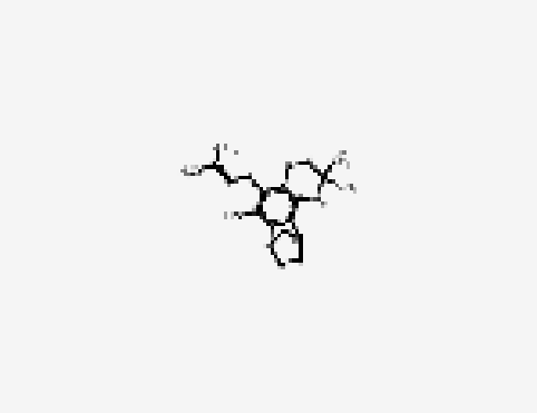 CC(C)=CCc1c(O)c2c(c3c1CCC(C)(C)O3)C1CCC2C1